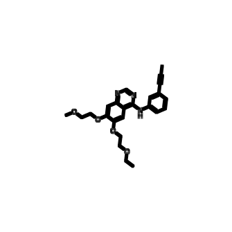 CC#Cc1cccc(Nc2ncnc3cc(OCCOC)c(OCCOCC)cc23)c1